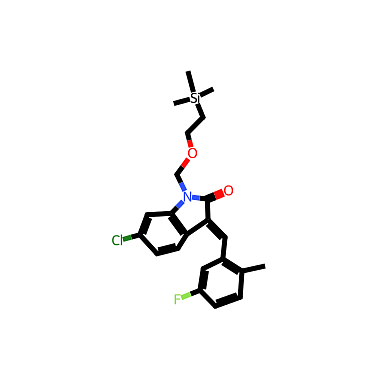 Cc1ccc(F)cc1/C=C1/C(=O)N(COCC[Si](C)(C)C)c2cc(Cl)ccc21